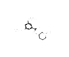 COc1cc(OC)cc(C(=O)N[C@@H]2CCCN(C)C2)c1